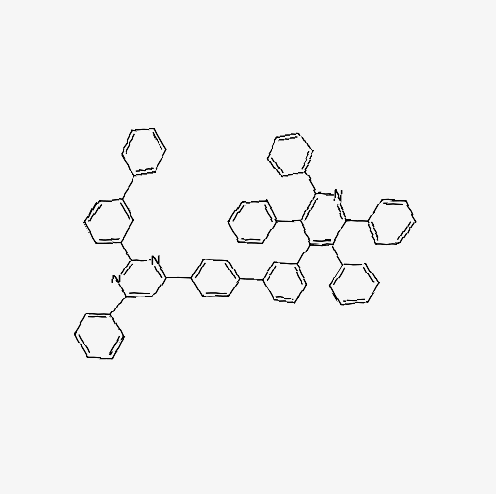 c1ccc(-c2cccc(-c3nc(-c4ccccc4)cc(-c4ccc(-c5cccc(-c6c(-c7ccccc7)c(-c7ccccc7)nc(-c7ccccc7)c6-c6ccccc6)c5)cc4)n3)c2)cc1